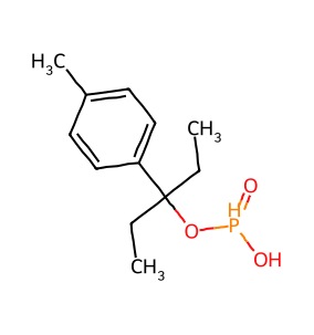 CCC(CC)(O[PH](=O)O)c1ccc(C)cc1